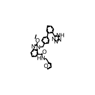 CCOc1nc2cccc(C(=O)NCc3ccco3)c2n1Cc1ccc(-c2ccccc2-c2nnn[nH]2)cc1